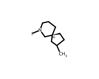 CC1CC[C@@]2(CCCN(I)C2)C1